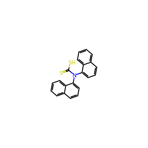 S=C(S)N(c1cccc2ccccc12)c1cccc2ccccc12